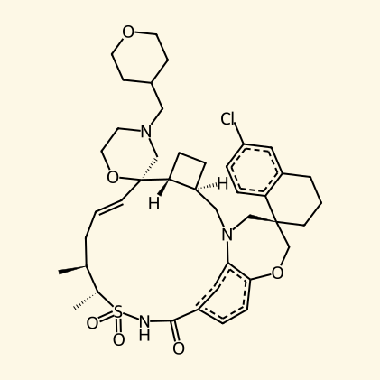 C[C@@H]1[C@@H](C)C/C=C/[C@]2(CN(CC3CCOCC3)CCO2)[C@@H]2CC[C@H]2CN2C[C@@]3(CCCc4cc(Cl)ccc43)COc3ccc(cc32)C(=O)NS1(=O)=O